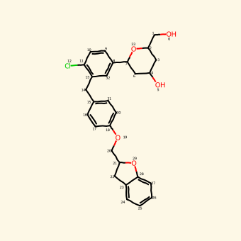 OCC1CC(O)CC(c2ccc(Cl)c(Cc3ccc(OCC4Cc5ccccc5O4)cc3)c2)O1